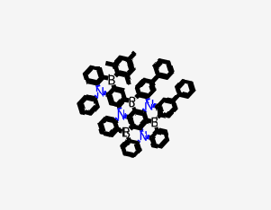 Cc1cc(C)c(B2c3ccccc3N(c3ccccc3)c3cc4c(cc32)B2c3ccc(-c5ccccc5)cc3N3c5cc(-c6ccccc6)ccc5B5c6ccccc6N6c7ccccc7B7c8ccccc8N4c4c7c6c5c3c42)c(C)c1